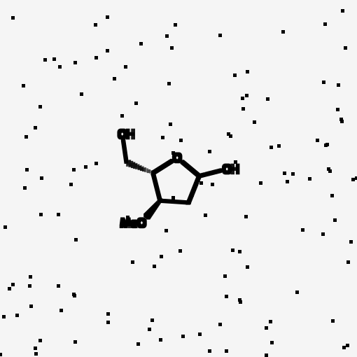 CO[C@@H]1CC(O)O[C@H]1CO